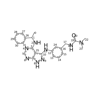 CC(Nc1ncnc2[nH]nc(Nc3cccc(CNC(=O)N(C)C)c3)c12)c1ccccc1